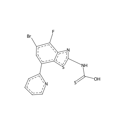 OC(=S)Nc1nc2c(F)c(Br)cc(-c3ccccn3)c2s1